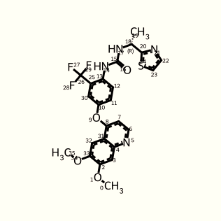 COc1cc2nccc(Oc3ccc(NC(=O)N[C@H](C)c4nccs4)c(C(F)(F)F)c3)c2cc1OC